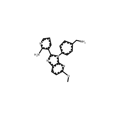 COc1ccc2nc(-c3cccnc3N)n(-c3ccc(CN)cc3)c2n1